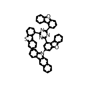 c1ccc2cc3c(cc2c1)c1ccccc1n3-c1cc(-c2nc(-c3cccc4oc5ccccc5c34)nc(-c3cccc4sc5ccccc5c34)n2)c2c(c1)oc1ccccc12